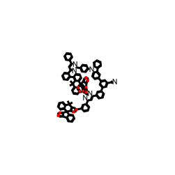 CC1(C)c2ccccc2C2(c3ccccc3-c3ccccc32)c2ccc(-c3cccc(-c4cc(-c5cccc(-c6cc(C#N)cc(-c7ccc8c(c7)c7ccccc7n8-c7ccc(-c8nc(-c9ccccc9)cc(-c9ccccc9-c9cccc%10c9C(C)(C)c9ccccc9C%109c%10ccccc%10-c%10ccccc%109)n8)cc7)c6)c5)nc(-c5ccccc5)n4)c3)cc21